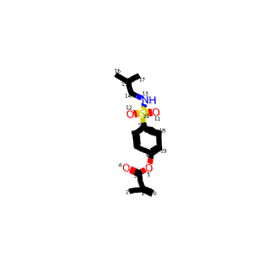 C=C(C)C(=O)Oc1ccc(S(=O)(=O)NCC(C)C)cc1